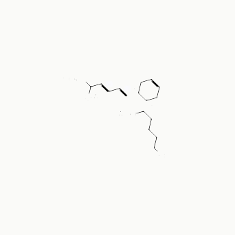 CCCCCCCCC(/C=C/C=C/[C@@H]1CC=CC[C@@H]1C(CCCCO)OC(C)=O)OC(C)=O